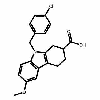 COc1ccc2c(c1)c1c(n2Cc2ccc(Cl)cc2)CC(C(=O)O)CC1